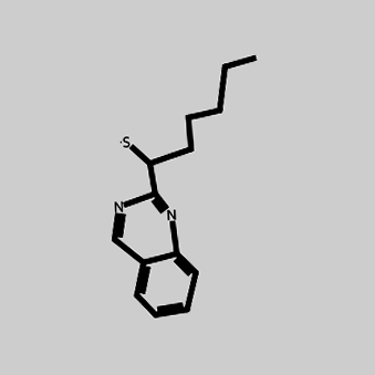 CCCCCC([S])c1ncc2ccccc2n1